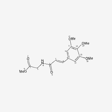 COC(=O)CNC(=O)C=Cc1cc(OC)c(OC)c(OC)c1